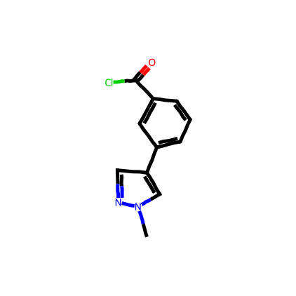 Cn1cc(-c2cccc(C(=O)Cl)c2)cn1